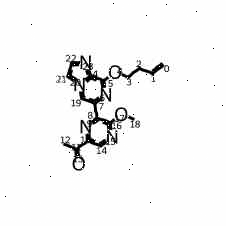 C=CCCOc1nc(-c2nc(C(C)=O)cnc2OC)cn2ccnc12